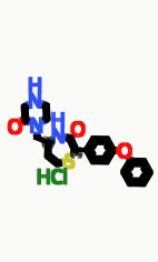 Cl.O=C1N[C@H](CN2CCNCC2=O)CCS[C@@H]1c1ccc(Oc2ccccc2)cc1